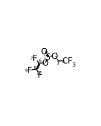 O=S(OCC(F)(F)F)OC(F)=C(F)F